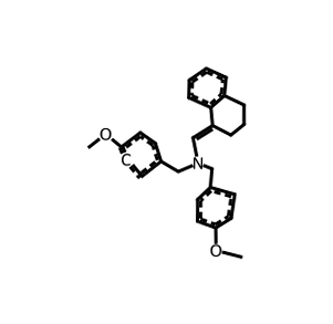 COc1ccc(CN(/C=C2\CCCc3ccccc32)Cc2ccc(OC)cc2)cc1